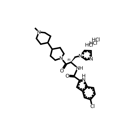 CN1CCC(C2CCN(C(=O)[C@@H](Cn3ccnc3)NC(=O)c3cc4cc(Cl)ccc4[nH]3)CC2)CC1.Cl.Cl.Cl